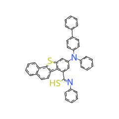 S/C(=N\c1ccccc1)c1cc(N(c2ccccc2)c2ccc(-c3ccccc3)cc2)cc2sc3c4ccccc4ccc3c12